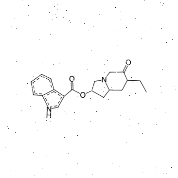 CCC1CC2CC(OC(=O)c3c[nH]c4ccccc34)CN2CC1=O